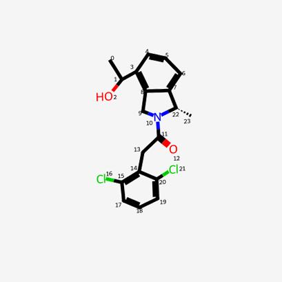 CC(O)c1cccc2c1CN(C(=O)Cc1c(Cl)cccc1Cl)[C@H]2C